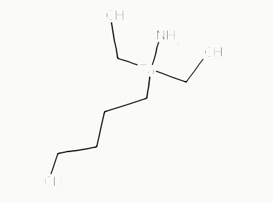 CCCC[CH2][Ta]([NH2])([CH2]C)[CH2]C